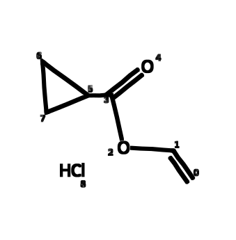 C=COC(=O)C1CC1.Cl